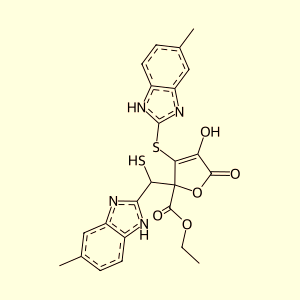 CCOC(=O)C1(C(S)c2nc3cc(C)ccc3[nH]2)OC(=O)C(O)=C1Sc1nc2cc(C)ccc2[nH]1